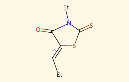 CC/C=C1\SC(=S)N(CC)C1=O